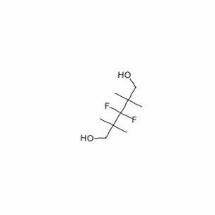 CC(C)(CO)C(F)(F)C(C)(C)CO